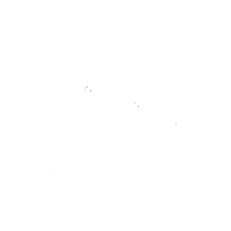 CCN[C@@H](CC(=O)O)C(=O)N(C)C